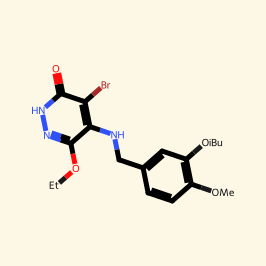 CCOc1n[nH]c(=O)c(Br)c1NCc1ccc(OC)c(OCC(C)C)c1